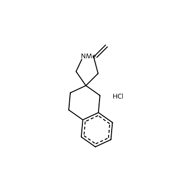 C=CCC1(CNC)CCc2ccccc2C1.Cl